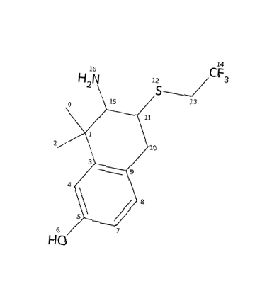 CC1(C)c2cc(O)ccc2CC(SCC(F)(F)F)C1N